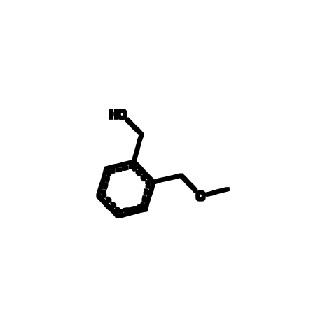 COCc1ccccc1CO